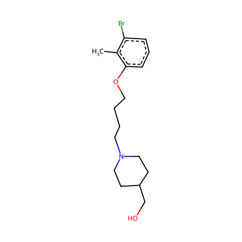 Cc1c(Br)cccc1OCCCCN1CCC(CO)CC1